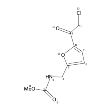 COC(=O)NCc1ccc(C(=O)CCl)o1